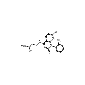 CN[S+]([O-])CCNc1nc(=O)n(-c2ccccc2C)c2nc(C(F)(F)F)ccc12